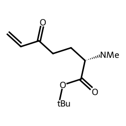 C=CC(=O)CC[C@H](NC)C(=O)OC(C)(C)C